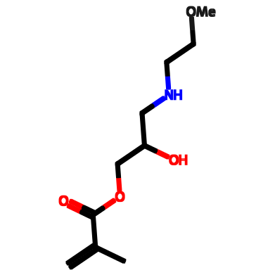 C=C(C)C(=O)OCC(O)CNCCOC